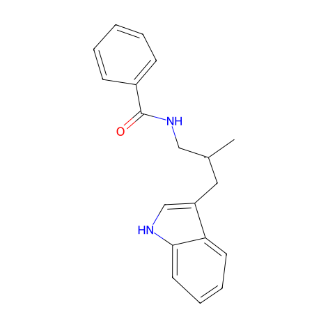 C[C](CNC(=O)c1ccccc1)Cc1c[nH]c2ccccc12